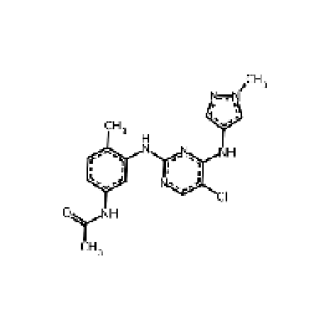 CC(=O)Nc1ccc(C)c(Nc2ncc(Cl)c(Nc3cnn(C)c3)n2)c1